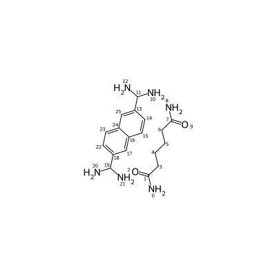 NC(=O)CCCCC(N)=O.NC(N)c1ccc2cc(C(N)N)ccc2c1